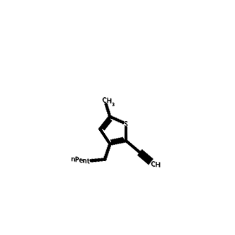 C#Cc1sc(C)cc1CCCCCC